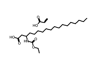 C=CC(=O)O.CCCCCCCCCCCCCCCC(CC(=O)O)NC(=O)OCC